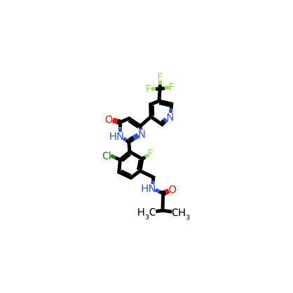 CC(C)C(=O)NCc1ccc(Cl)c(-c2nc(-c3cncc(C(F)(F)F)c3)cc(=O)[nH]2)c1F